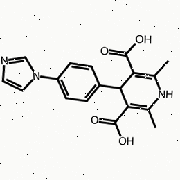 CC1=C(C(=O)O)C(c2ccc(-n3ccnc3)cc2)C(C(=O)O)=C(C)N1